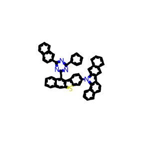 c1ccc(-c2nc(-c3ccc4ccccc4c3)nc(-c3c4ccccc4cc4sc5cc(-n6c7cc8ccccc8cc7c7ccc8ccccc8c76)ccc5c34)n2)cc1